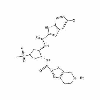 CC(C)N1CCc2nc(C(=O)N[C@@H]3CN(S(C)(=O)=O)C[C@H]3NC(=O)c3cc4cc(Cl)ccc4[nH]3)sc2C1